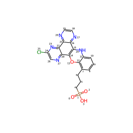 O=S(=O)(O)CCCc1cccc2c1Oc1c(c3nccnc3c3nc(Cl)cnc13)N2